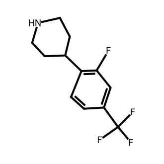 Fc1cc(C(F)(F)F)ccc1C1CCNCC1